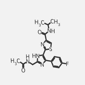 CC(=O)NCc1nc(-c2ccc(F)cc2)c(-c2nc(C(=O)NC(C)C)cs2)[nH]1